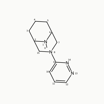 CN1C2CCCC1CN(c1cccnn1)C2